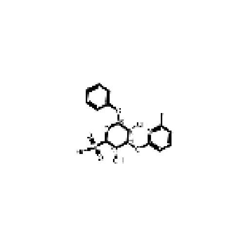 Cc1cccc(O[C@@H]2[C@@H](O)[C@H](Oc3ccccc3)OC(S(=O)(=O)O)[C@H]2O)n1